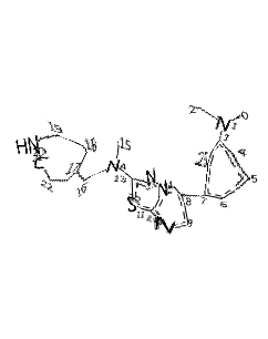 CN(C)c1cccc(-c2cnc3sc(N(C)CC4CCNCC4)nn23)c1